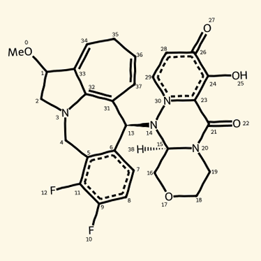 COC1CN2Cc3c(ccc(F)c3F)[C@H](N3[C@@H]4COCCN4C(=O)c4c(O)c(=O)ccn43)C3=C2C1=CCC=C3